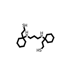 SCCC1(PCCCPC2(CCS)CCCCC2)CCCCC1